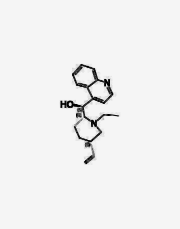 C=C[C@@H]1CC[C@H]([C@@H](O)c2ccnc3ccccc23)N(CC)C1